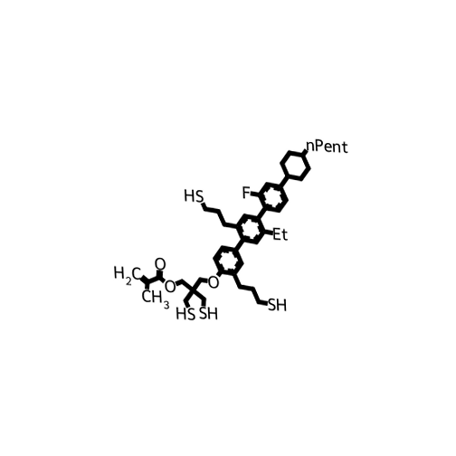 C=C(C)C(=O)OCC(CS)(CS)COc1ccc(-c2cc(CC)c(-c3ccc(C4CCC(CCCCC)CC4)cc3F)cc2CCCS)cc1CCCS